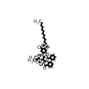 CCCCCCCCCCCCS(=O)(=O)c1cc(Cl)c(NC(=O)C(c2nc(=O)c3ccccc3n2Cc2ccccc2)N2C(=O)OC(C)(C)C2=O)cc1Cl